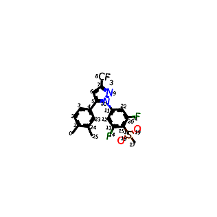 Cc1ccc(-c2cc(C(F)(F)F)nn2-c2cc(F)c(S(C)(=O)=O)c(F)c2)cc1C